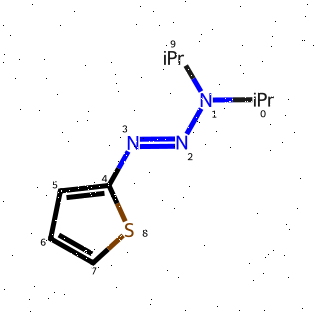 CC(C)N(N=Nc1cccs1)C(C)C